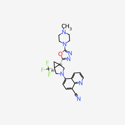 CN1CCN(c2nnc([C@]34CN(c5ccc(C#N)c6ncccc56)C[C@@]3(C(F)(F)F)C4)o2)CC1